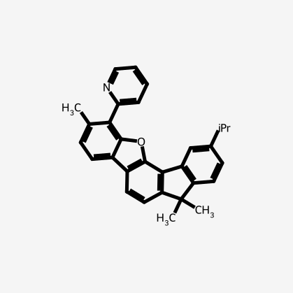 Cc1ccc2c(oc3c4c(ccc32)C(C)(C)c2ccc(C(C)C)cc2-4)c1-c1ccccn1